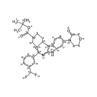 CC(C)(C)OC(=O)N1CCC(n2/c(=N\C(=O)c3cccc(C(F)F)c3)[nH]c3cc(N4CCOCC4=O)ccc32)CC1